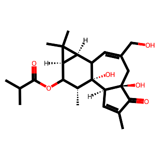 CC1=C[C@H]2[C@]3(O)C(C=C(CO)C[C@]2(O)C1=O)[C@H]1[C@@H](C(OC(=O)C(C)C)[C@H]3C)C1(C)C